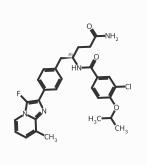 Cc1cccn2c(F)c(-c3ccc(C[C@@H](CCC(N)=O)NC(=O)c4ccc(OC(C)C)c(Cl)c4)cc3)nc12